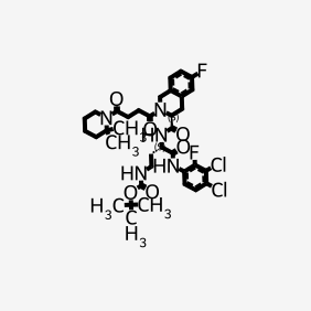 CC(C)(C)OC(=O)NCC[C@H](NC(=O)[C@@H]1Cc2cc(F)ccc2CN1C(=O)CCC(=O)N1CCCCC1(C)C)C(=O)Nc1ccc(Cl)c(Cl)c1F